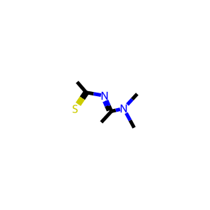 CC(=S)/N=C(\C)N(C)C